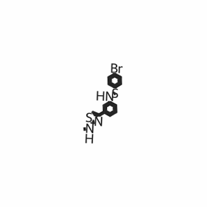 CNc1nc(-c2cccc(NSc3ccc(Br)cc3)c2)cs1